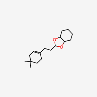 CC1(C)CC=C(CCC2OC3CCCCC3O2)CC1